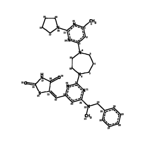 Cc1cc(N2CCCN(c3nc(C=C4SC(=O)NC4=O)cc(N(C)Cc4ccccc4)n3)CC2)nc(N2CCCC2)n1